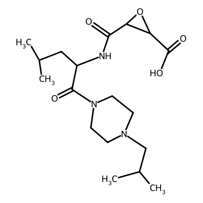 CC(C)CC(NC(=O)C1OC1C(=O)O)C(=O)N1CCN(CC(C)C)CC1